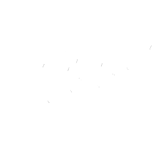 CC/C=C\CCCCOC(=O)CCN(CCCN(C)CCCN(CCC(=O)OCCOC(=O)OCC(CCCC)CCCCCC)CCC(=O)OCCOC(=O)OCC(CCCC)CCCCCC)CCC(=O)OCCOC(=O)OCC(CCCC)CCCCCC